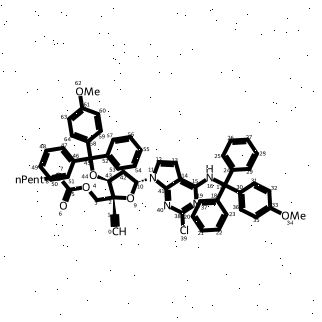 C#C[C@]1(COC(=O)OCCCCC)O[C@@H](n2ccc3c(NC(c4ccccc4)(c4ccccc4)c4ccc(OC)cc4)nc(Cl)nc32)C[C@@H]1OC(c1ccccc1)(c1ccccc1)c1ccc(OC)cc1